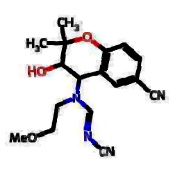 COCCN(C=NC#N)C1c2cc(C#N)ccc2OC(C)(C)C1O